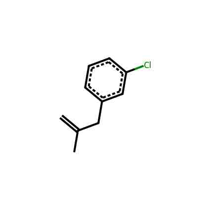 C=C(C)Cc1cccc(Cl)c1